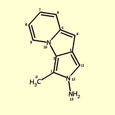 Cc1c2c(cc3ccccn32)cn1N